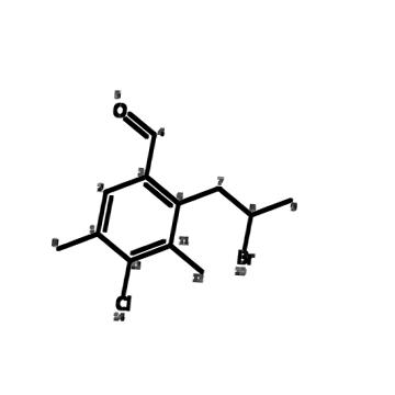 Cc1cc(C=O)c(CC(C)Br)c(C)c1Cl